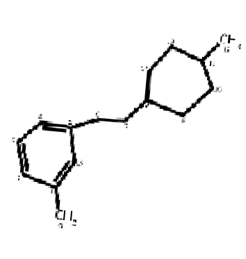 Cc1cccc(CCC2CCC(C)CC2)c1